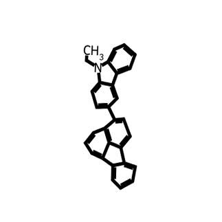 CCn1c2ccccc2c2cc(-c3ccc4c5c(cccc35)-c3ccccc3-4)ccc21